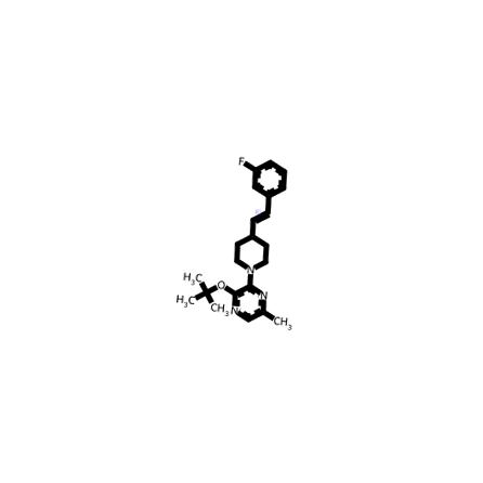 Cc1cnc(OC(C)(C)C)c(N2CCC(/C=C/c3cccc(F)c3)CC2)n1